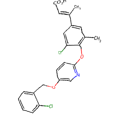 CC(=CC(=O)O)c1cc(C)c(Oc2ccc(OCc3ccccc3Cl)cn2)c(Cl)c1